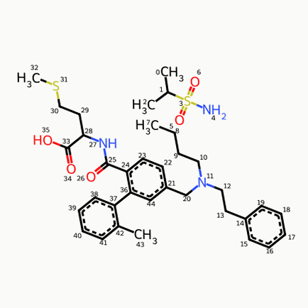 CC(C)S(N)(=O)=O.CCCCN(CCc1ccccc1)Cc1ccc(C(=O)NC(CCSC)C(=O)O)c(-c2ccccc2C)c1